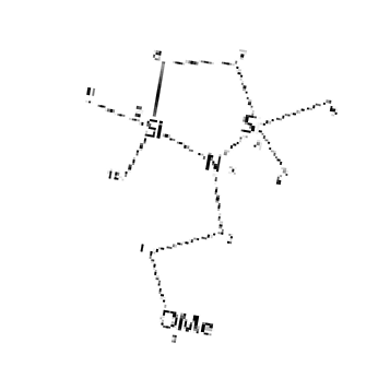 COCCN1[Si](C)(C)CC[Si]1(C)C